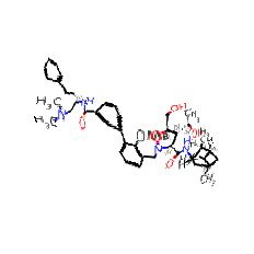 COc1c(CN2O[C@@H](CO)[C@H]([C@H](C)O)[C@H]2C(=O)N[C@H]2C[C@@]3(C)C[C@H](C3C)[C@@H]2C)cccc1-c1cccc(C(=O)N[C@@H](CCc2ccccc2)CN(C)C)c1